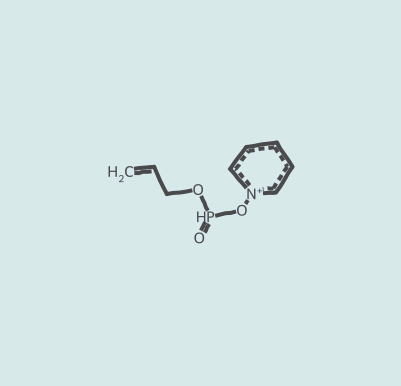 C=CCO[PH](=O)O[n+]1ccccc1